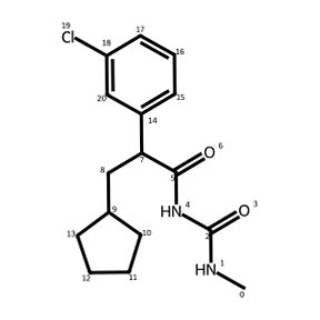 CNC(=O)NC(=O)C(CC1CCCC1)c1cccc(Cl)c1